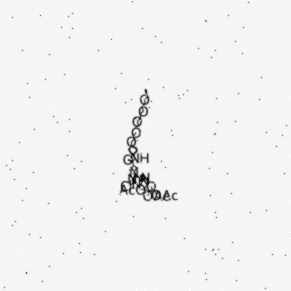 C#CCOCCOCCOCCOCCOc1ccc(NC(=O)C2CN(c3nc(Cl)nc4c3cnn4[C@@H]3O[C@H](COC(C)=O)[C@@H](OC(C)=O)[C@H]3OC(C)=O)C2)cc1